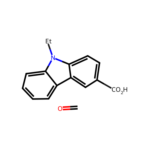 C=O.CCn1c2ccccc2c2cc(C(=O)O)ccc21